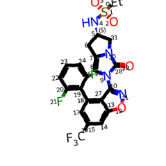 CCS(=O)(=O)N[C@H]1Cc2cn(-c3noc4cc(C(F)(F)F)cc(-c5c(F)cccc5F)c34)c(=O)n2C1